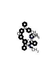 C=C/C=C(\c1c(C)n(C(/C=C\C(=C)C)=C/C)c2ccccc12)n1c2c(c3ccccc31)CC(c1ccc3oc4ccc(N(c5ccccc5)c5ccccc5)cc4c3c1)C=C2